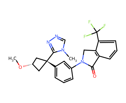 CO[C@H]1C[C@@](c2cccc(N3Cc4c(cccc4C(F)(F)F)C3=O)c2)(c2nncn2C)C1